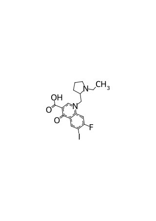 CCN1CCCC1Cn1cc(C(=O)O)c(=O)c2cc(I)c(F)cc21